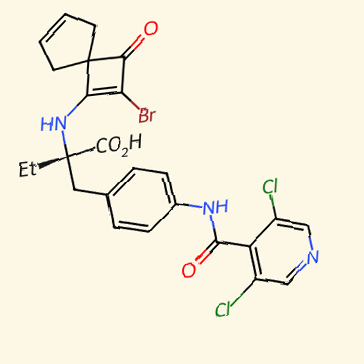 CC[C@@](Cc1ccc(NC(=O)c2c(Cl)cncc2Cl)cc1)(NC1=C(Br)C(=O)C12CC=CC2)C(=O)O